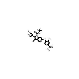 CN(C)C(=O)c1ccc(Nc2cc3c(cn2)c(Cl)c(-c2cnn(C)c2)n3C(=O)OC(C)(C)C)c(Cl)c1